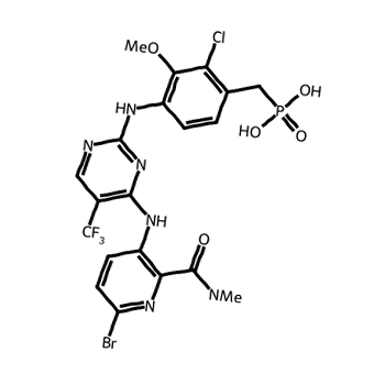 CNC(=O)c1nc(Br)ccc1Nc1nc(Nc2ccc(CP(=O)(O)O)c(Cl)c2OC)ncc1C(F)(F)F